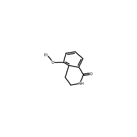 CCOc1cccc2c1CCNC2=O